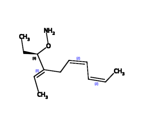 C/C=C\C=C/C/C(=C\C)[C@@H](CC)ON